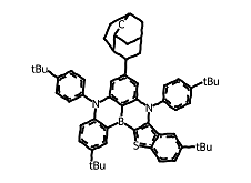 CC(C)(C)c1ccc(N2c3ccc(C(C)(C)C)cc3B3c4sc5ccc(C(C)(C)C)cc5c4N(c4ccc(C(C)(C)C)cc4)c4cc(C5CC6CC7CCC5C(C7)C6)cc2c43)cc1